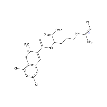 COC(=O)C(CCCN/C(N)=N\O)NC(=O)C1=Cc2cc(Cl)cc(Cl)c2O[C@@H]1C(F)(F)F